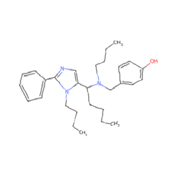 CCCCC(c1cnc(-c2ccccc2)n1CCCC)N(CCCC)Cc1ccc(O)cc1